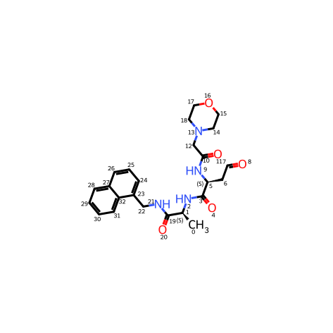 C[C@H](NC(=O)[C@H](CC=O)NC(=O)CN1CCOCC1)C(=O)NCc1cccc2ccccc12